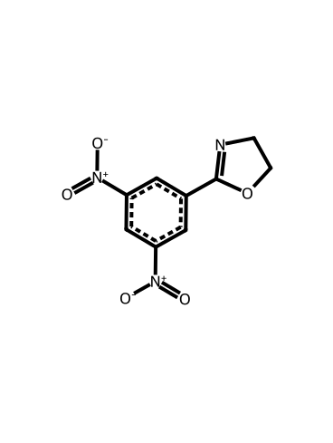 O=[N+]([O-])c1cc(C2=NCCO2)cc([N+](=O)[O-])c1